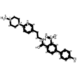 CN1CCN(c2ccc(CCNC(=O)c3ccc(-c4ccc(Cl)cc4)cc3[N+](=O)[O-])cn2)CC1